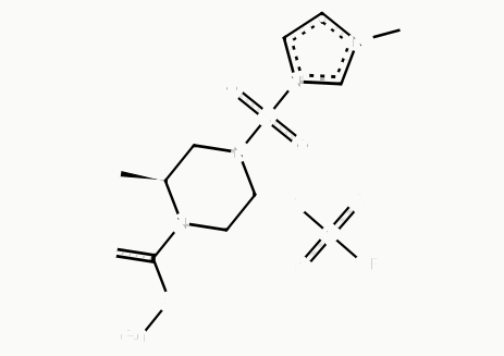 C[C@H]1CN(S(=O)(=O)n2cc[n+](C)c2)CCN1C(=O)OC(C)(C)C.O=S(=O)([O-])C(F)(F)F